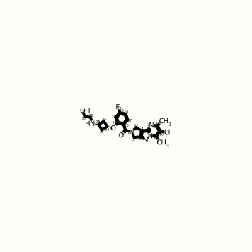 Cc1nc2c3c(nn2c(C)c1Cl)CN(C(=O)c1ccc(F)cc1O[C@H]1C[C@@H](NCCO)C1)C3